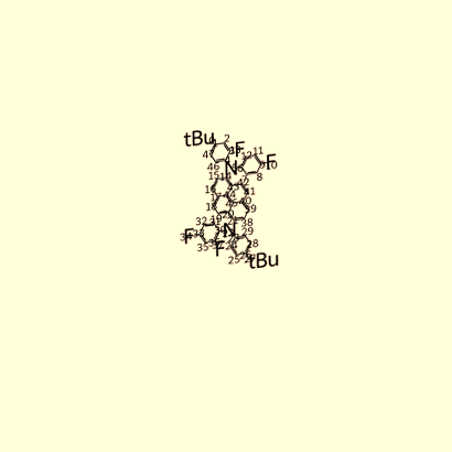 CC(C)(C)c1ccc(N(c2ccc(F)cc2F)c2ccc3ccc4c(N(c5ccc(C(C)(C)C)cc5)c5ccc(F)cc5F)ccc5ccc2c3c54)cc1